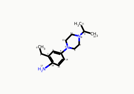 CCc1cc(N2CCN(C(C)C)CC2)ccc1N